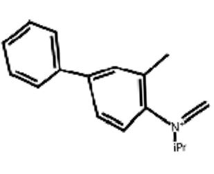 C=[N+](c1ccc(-c2ccccc2)cc1C)C(C)C